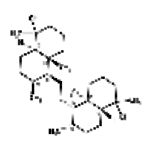 C[C@H]1CC[C@H]2C(C)(C)CCC[C@]2(C)[C@H]1CC[C@H]1[C@@H](C)CC[C@H]2C(C)(C)CCC[C@]12C